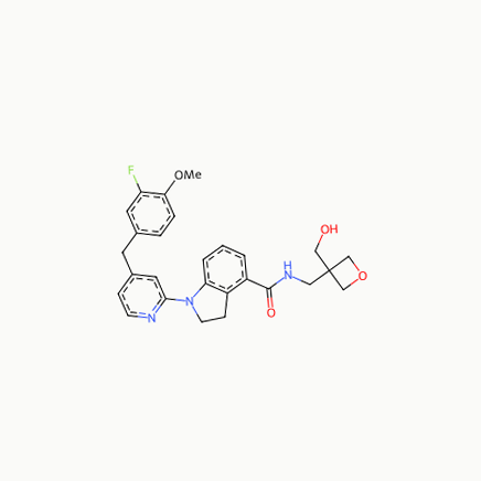 COc1ccc(Cc2ccnc(N3CCc4c(C(=O)NCC5(CO)COC5)cccc43)c2)cc1F